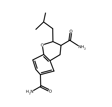 CC(C)CC1Oc2ccc(C(N)=O)cc2CC1C(N)=O